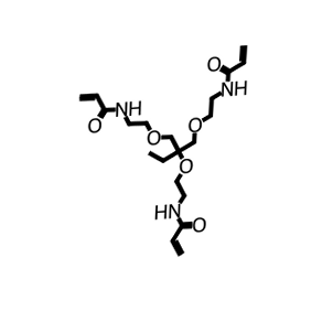 C=CC(=O)NCCOCC(CC)(COCCNC(=O)C=C)OCCNC(=O)C=C